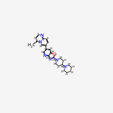 C=C1C=CN=C2C=CC(c3cnc4nc(N5CCC(N6CCCCC6)CC5)oc4c3)=CN12